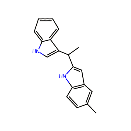 Cc1ccc2[nH]c(C(C)c3c[nH]c4ccccc34)cc2c1